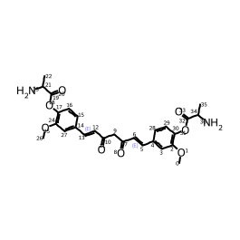 COc1cc(/C=C/C(=O)CC(=O)/C=C/c2ccc(OC(=O)C(C)N)c(OC)c2)ccc1OC(=O)C(C)N